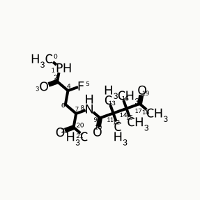 CPC(=O)C(F)CC(NC(=O)C(C)(C)C(C)(C)C(C)=O)C(C)=O